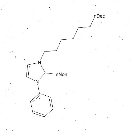 CCCCCCCCCCCCCCCCN1C=CN(c2ccccc2)C1CCCCCCCCC